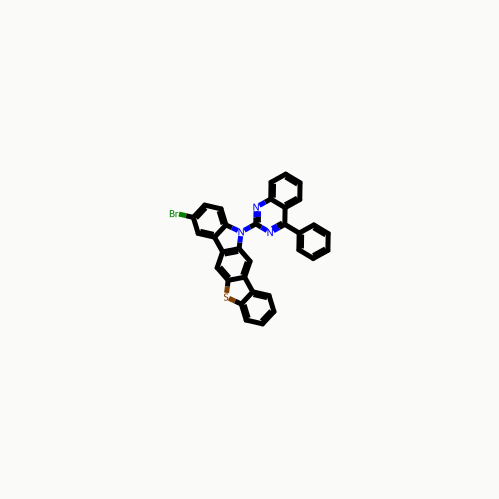 Brc1ccc2c(c1)c1cc3sc4ccccc4c3cc1n2-c1nc(-c2ccccc2)c2ccccc2n1